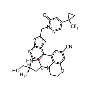 C[C@]1(CO)C[C@H](N2CCOc3cc(C#N)cc(-c4ccnc5cc(Cn6ncc(C7(C(F)(F)F)CC7)cc6=O)sc45)c32)CN1